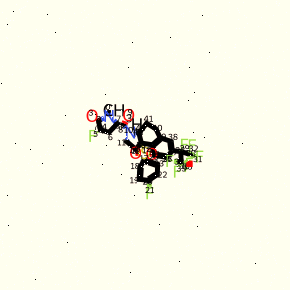 CN1C(=O)[C@@H](F)C[C@H]1C(=O)N1CC[C@@]2(S(=O)(=O)c3ccc(F)cc3)c3ccc(C(F)(C(F)(F)F)C(F)(F)F)cc3CC[C@@H]12